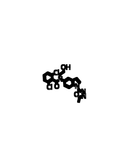 Cc1nnc(-n2ccc3cc(N(CCO)C(=O)c4c(Cl)cccc4Cl)ccc32)o1